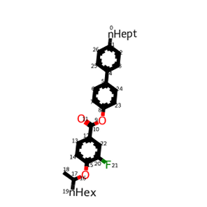 CCCCCCCc1ccc(-c2ccc(OC(=O)c3ccc(OC(C)CCCCCC)c(F)c3)cc2)cc1